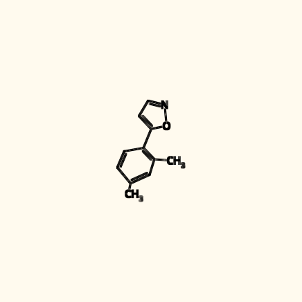 Cc1ccc(-c2ccno2)c(C)c1